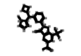 CC(=O)c1cc2c(c(C(F)(F)F)c1)CN(c1cccc(C(c3nncn3C)C3CCC3)c1)C2=O